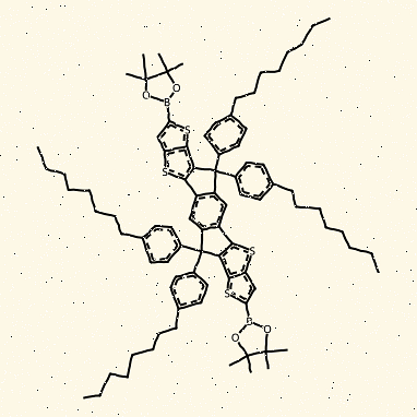 CCCCCCCCc1ccc(C2(c3ccc(CCCCCCCC)cc3)c3cc4c(cc3-c3sc5cc(B6OC(C)(C)C(C)(C)O6)sc5c32)C(c2ccc(CCCCCCCC)cc2)(c2ccc(CCCCCCCC)cc2)c2c-4sc3cc(B4OC(C)(C)C(C)(C)O4)sc23)cc1